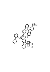 CC(C)(C)c1ccc2c(c1)[Si]1(c3ccccc3-c3ccc(CCN(Cc4ccccc4-c4ccccc4)c4ccc5c(c4)-c4ccccc4C5(C)C)cc31)c1cc(C(C)(C)C)ccc1-2